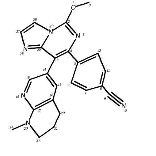 COc1nc(-c2ccc(C#N)cc2)c(-c2cnc3c(c2)CCCN3C)c2nccn12